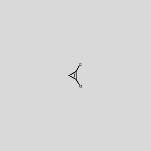 ClC1=C(Cl)C1